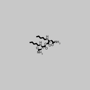 CCCCCN[C@@H](CC(N)=O)C(=O)OC(=O)[C@H](CC(N)=O)NCCCCC